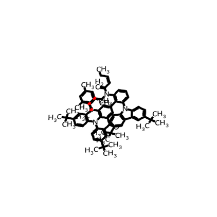 C=C(/C=C\CC)N(C(=C)/C=C\CC)c1cccc(-n2c3ccc(C(C)(C)C)cc3c3cc(C(C)(C)C)ccc32)c1-c1cc2c3c(c1)c(=O)c1cc(C(C)(C)C)ccc1n3-c1ccc(C(C)(C)C)cc1B2c1c(C)cc(C)cc1C